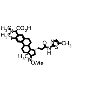 CON=C1C[C@@H](CCC(=O)Nc2ncc(C)s2)C2C3CCc4cc(C(C(=O)O)N(C)C)c(I)cc4C3CC[C@]12C